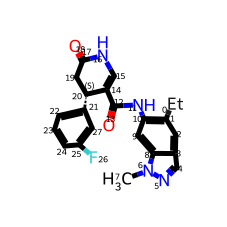 CCc1cc2cnn(C)c2cc1NC(=O)C1=CNC(=O)C[C@H]1c1cccc(F)c1